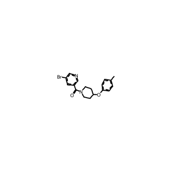 Cc1ccc(OC2CCN(C(=O)c3cncc(Br)c3)CC2)cc1